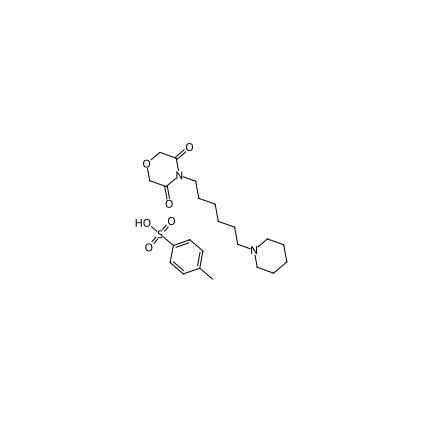 Cc1ccc(S(=O)(=O)O)cc1.O=C1COCC(=O)N1CCCCCCN1CCCCC1